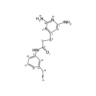 Nc1cc(SCC(=O)Nc2cccc(CF)c2)nc(N)n1